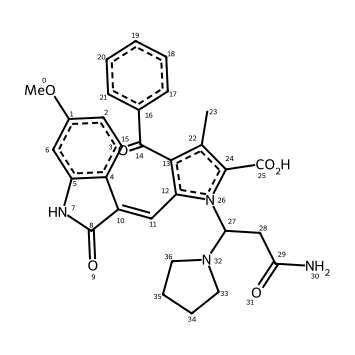 COc1ccc2c(c1)NC(=O)C2=Cc1c(C(=O)c2ccccc2)c(C)c(C(=O)O)n1C(CC(N)=O)N1CCCC1